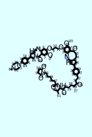 COc1cc2c(cc1OCCCOc1cc3c(cc1OC)C(=O)CCC1C=C(c4ccc(CCC(=O)[C@H](C)CCCC(=O)C(NC(=O)CCCCCN5C(=O)C=CC5=O)C(C)C)cc4)C[C@H]1/C=N\3)N=C[C@@H]1CC(c3ccc(N4CCN(C)CC4)cc3)=CN1C2=O